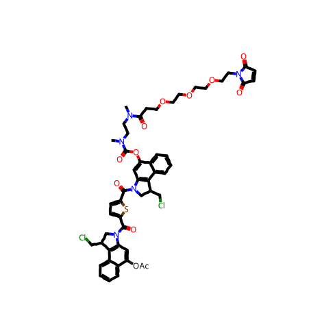 CC(=O)Oc1cc2c(c3ccccc13)C(CCl)CN2C(=O)c1ccc(C(=O)N2CC(CCl)c3c2cc(OC(=O)N(C)CCN(C)C(=O)CCOCCOCCOCCN2C(=O)C=CC2=O)c2ccccc32)s1